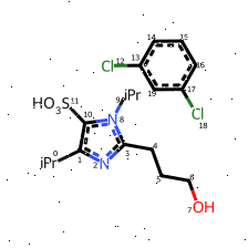 CC(C)c1nc(CCCO)n(C(C)C)c1S(=O)(=O)O.Clc1cccc(Cl)c1